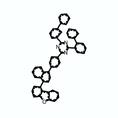 c1ccc(-c2cccc(-c3nc(-c4ccc(-c5ccc(-c6cccc7oc8ccccc8c67)c6ccccc56)cc4)nc(-c4ccccc4-c4ccccc4)n3)c2)cc1